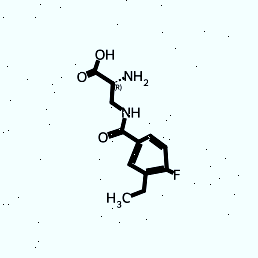 CCc1cc(C(=O)NC[C@@H](N)C(=O)O)ccc1F